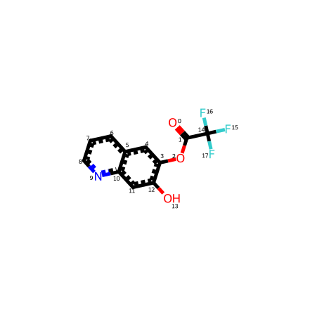 O=C(Oc1cc2cccnc2cc1O)C(F)(F)F